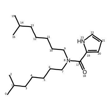 CC(C)CCCCCN(CCCCCC(C)C)C(=O)c1ccc[nH]1